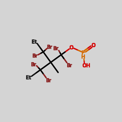 CCC(Br)(Br)C(C)(C(Br)(Br)CC)C(Br)(Br)O[PH](=O)O